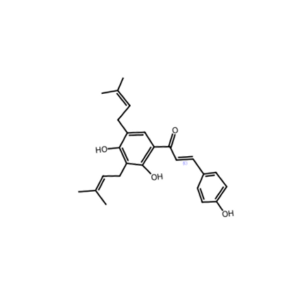 CC(C)=CCc1cc(C(=O)/C=C/c2ccc(O)cc2)c(O)c(CC=C(C)C)c1O